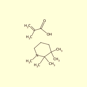 C=C(C)C(=O)O.CN1CCCC(C)(C)C1(C)C